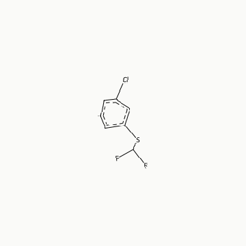 FC(F)Sc1c[c]cc(Cl)c1